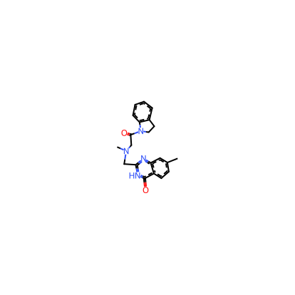 Cc1ccc2c(=O)[nH]c(CN(C)CC(=O)N3CCc4ccccc43)nc2c1